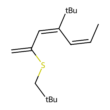 C=C(/C=C(\C=C/C)C(C)(C)C)SCC(C)(C)C